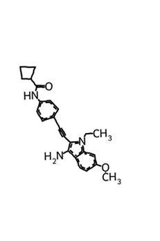 CCn1c(C#Cc2ccc(NC(=O)C3CCC3)cc2)c(N)c2ccc(OC)cc21